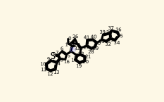 CC/C(C)=C(\C1=Cc2sc3ccccc3c2C1)c1ccccc1C(=C1C=C1)c1ccc(C2=C=c3ccccc3=C2)cc1